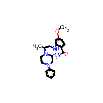 COc1ccc(C(N)=O)c(NCC(C)N2CCN(c3ccccc3)CC2)c1